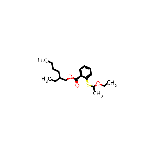 CCCCC(CC)COC(=O)c1ccccc1SC(C)OCC